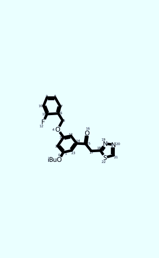 CC(C)COc1cc(OCc2ccccc2F)cc(C(=O)Cc2nncs2)c1